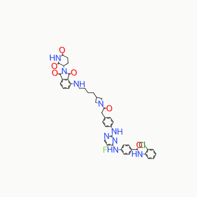 O=C1CCC(N2C(=O)c3cccc(NCCCCC4CN(C(=O)Cc5ccc(Nc6ncc(F)c(Nc7ccc(C(=O)Nc8ccccc8Cl)cc7)n6)cc5)C4)c3C2=O)C(=O)N1